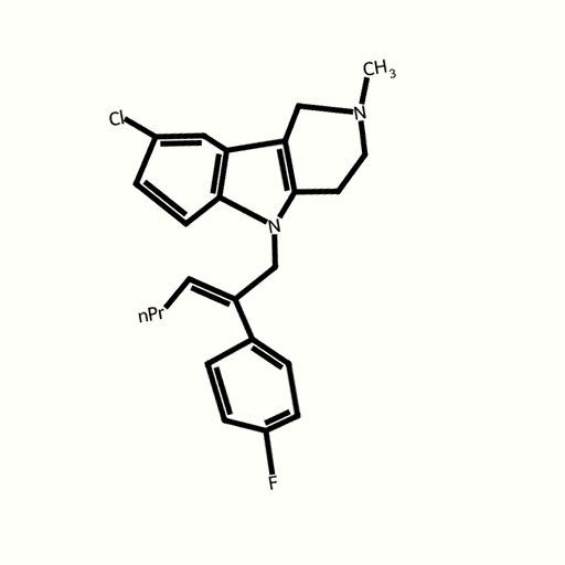 CCC/C=C(/Cn1c2c(c3cc(Cl)ccc31)CN(C)CC2)c1ccc(F)cc1